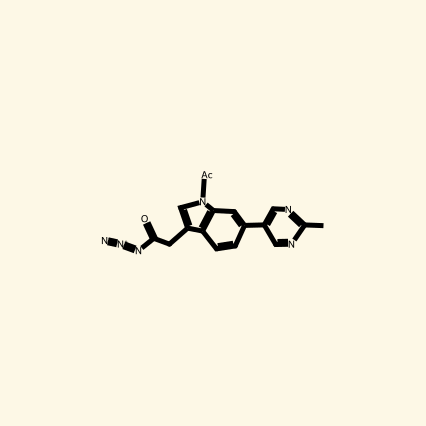 CC(=O)n1cc(CC(=O)N=[N+]=[N-])c2ccc(-c3cnc(C)nc3)cc21